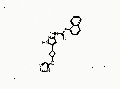 O=C(Cc1cccc2ccccc12)Nc1cc(C2CC(Oc3cnccn3)C2)[nH]n1